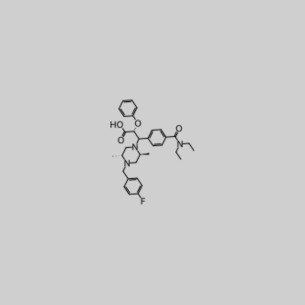 CCN(CC)C(=O)c1ccc(C([C@@H](Oc2ccccc2)C(=O)O)N2C[C@@H](C)N(Cc3ccc(F)cc3)C[C@@H]2C)cc1